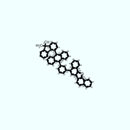 CC1(C)c2ccccc2-c2c(-c3c4ccccc4c(-c4cccc(-c5cc6c7ccc8ccccc8c7oc6c6ccccc56)c4)c4ccccc34)cccc21